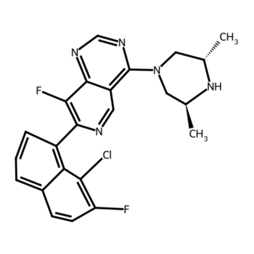 C[C@H]1CN(c2ncnc3c(F)c(-c4cccc5ccc(F)c(Cl)c45)ncc23)C[C@H](C)N1